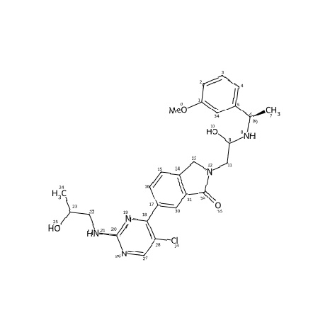 COc1cccc([C@@H](C)NC(O)CN2Cc3ccc(-c4nc(NCC(C)O)ncc4Cl)cc3C2=O)c1